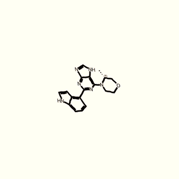 C[C@@H]1COCCN1c1nc(-c2cccc3[nH]ccc23)nc2nc[nH]c12